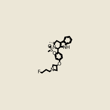 C[C@@H]1Cc2c([nH]c3ccccc23)C(c2ccc(OC3CN(CCCF)C3)cc2)N1S(C)(=O)=O